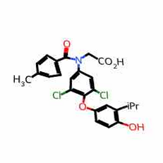 Cc1ccc(C(=O)N(CC(=O)O)c2cc(Cl)c(Oc3ccc(O)c(C(C)C)c3)c(Cl)c2)cc1